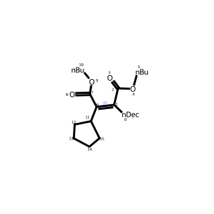 CCCCCCCCCC/C(C(=O)OCCCC)=C(/C(=O)OCCCC)C1CCCC1